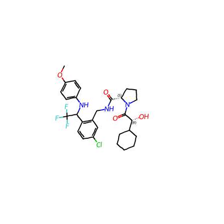 COc1ccc(NC(c2ccc(Cl)cc2CNC(=O)[C@@H]2CCCN2C(=O)[C@H](O)C2CCCCC2)C(F)(F)F)cc1